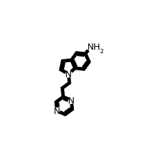 Nc1ccc2c(ccn2CCc2cnccn2)c1